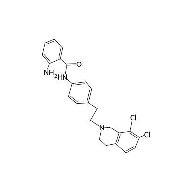 Nc1ccccc1C(=O)Nc1ccc(CCN2CCc3ccc(Cl)c(Cl)c3C2)cc1